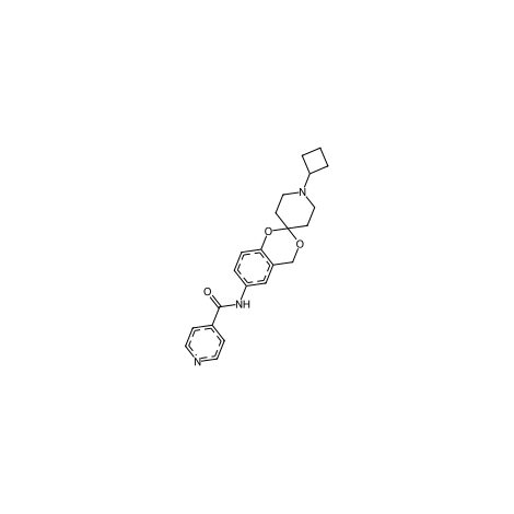 O=C(Nc1ccc2c(c1)COC1(CCN(C3CCC3)CC1)O2)c1ccncc1